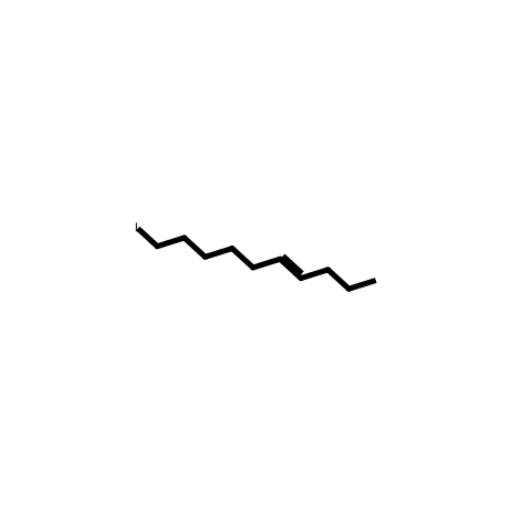 CCCC=CCCCCCI